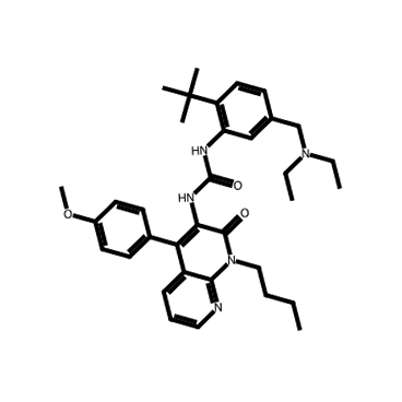 CCCCn1c(=O)c(NC(=O)Nc2cc(CN(CC)CC)ccc2C(C)(C)C)c(-c2ccc(OC)cc2)c2cccnc21